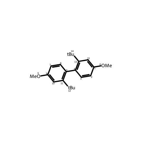 COc1ccc(-c2ccc(OC)cc2C(C)(C)C)c(C(C)(C)C)c1